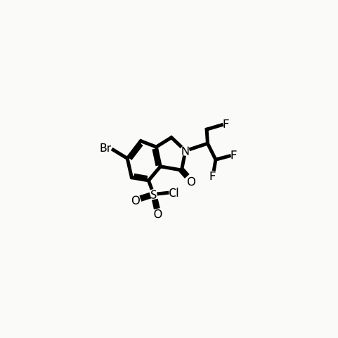 O=C1c2c(cc(Br)cc2S(=O)(=O)Cl)CN1C(CF)C(F)F